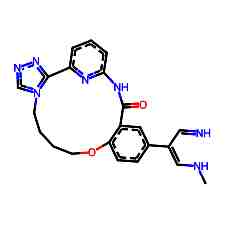 CN/C=C(\C=N)c1ccc2c(c1)C(=O)Nc1cccc(n1)-c1nncn1CCCCO2